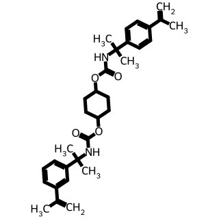 C=C(C)c1ccc(C(C)(C)NC(=O)OC2CCC(OC(=O)NC(C)(C)c3cccc(C(=C)C)c3)CC2)cc1